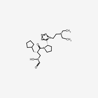 CCN(CC)CCn1nnnc1[C@@H]1CCCN1C(=O)[C@@H](CC1CCCC1)CN(O)C=O